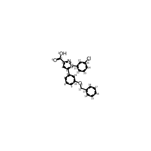 O=C(O)c1cc(-c2cccc(OCc3ccccc3)c2)n(-c2cccc(Cl)c2)n1